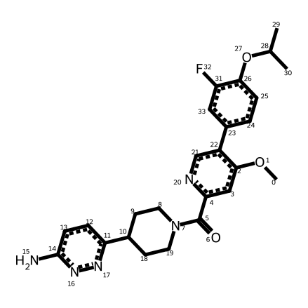 COc1cc(C(=O)N2CCC(c3ccc(N)nn3)CC2)ncc1-c1ccc(OC(C)C)c(F)c1